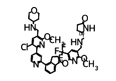 COc1nc(O[C@@H]2CCc3c(-c4cc(-c5nc(OC)c(CNC6CCOCC6)cc5Cl)ccn4)cccc32)c(C(F)(F)F)cc1CNC[C@@H]1CCC(=O)N1